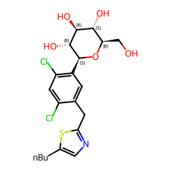 CCCCc1cnc(Cc2cc([C@@H]3O[C@H](CO)[C@@H](O)[C@H](O)[C@H]3O)c(Cl)cc2Cl)s1